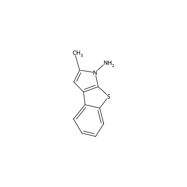 Cc1cc2c3ccccc3sc2n1N